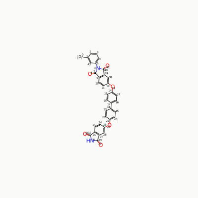 CC(C)c1cccc(N2C(=O)c3ccc(Oc4ccc(-c5ccc(Oc6ccc7c(c6)C(=O)NC7=O)cc5)cc4)cc3C2=O)c1